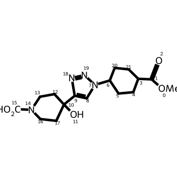 COC(=O)C1CCC(n2cc(C3(O)CCN(C(=O)O)CC3)nn2)CC1